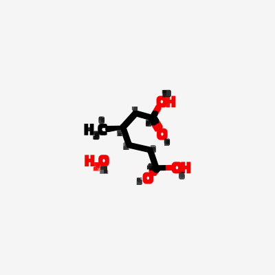 C[C@H](CCC(=O)O)CC(=O)O.O